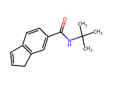 CC(C)(C)NC(=O)c1ccc2c(c1)CC=C2